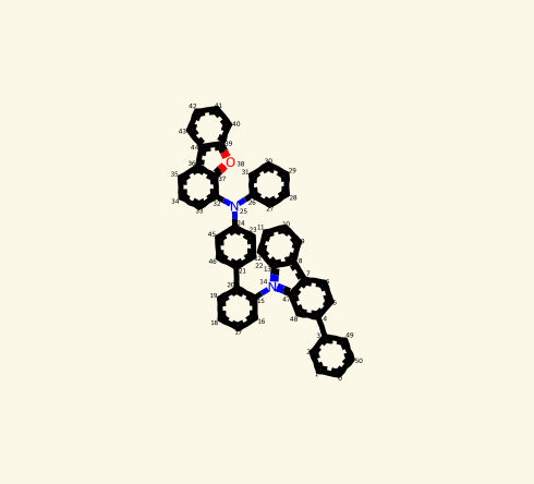 c1ccc(-c2ccc3c4ccccc4n(-c4ccccc4-c4ccc(N(c5ccccc5)c5cccc6c5oc5ccccc56)cc4)c3c2)cc1